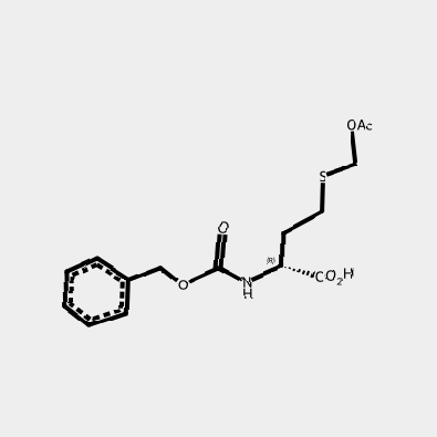 CC(=O)OCSCC[C@@H](NC(=O)OCc1ccccc1)C(=O)O